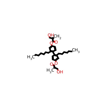 C=C(CO)C(=O)Oc1ccc(-c2ccc(OC(=O)C(=C)CO)cc2CCCCCCC)c(CCCCCCC)c1